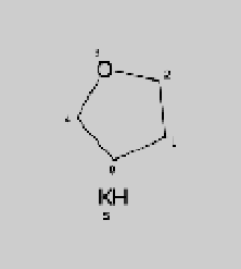 C1CCOC1.[KH]